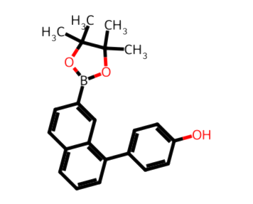 CC1(C)OB(c2ccc3cccc(-c4ccc(O)cc4)c3c2)OC1(C)C